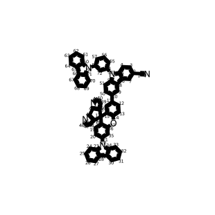 N#Cc1ccc2c(c1)c1cc(-c3ccc4c(c3)C3(c5ccc(-n6c7ccccc7c7ccccc76)cc5O4)c4cccnc4-c4ncccc43)ccc1n2-c1cccc(-n2c3ccccc3c3ccccc32)c1